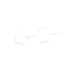 Brc1ccc(-n2cccc2)nc1